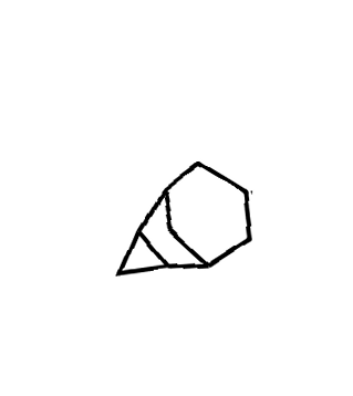 [CH]1CC2CC(C1)C1CC21